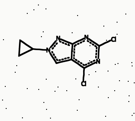 Clc1nc(Cl)c2cn(C3CC3)nc2n1